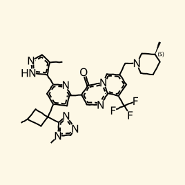 Cc1cn[nH]c1-c1cc(C2(c3nncn3C)CC(C)C2)cc(-c2cnc3c(C(F)(F)F)cc(CN4CCC[C@H](C)C4)cn3c2=O)n1